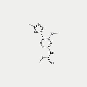 COc1cc(NC(=N)SC)ccc1-c1nc(C)no1